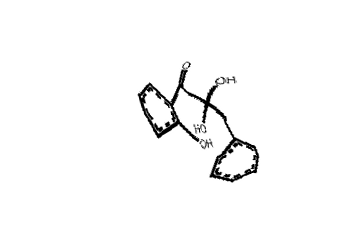 O=C(c1ccccc1O)C(O)(O)Cc1ccccc1